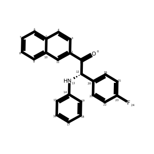 O=C(c1ccc2ccccc2c1)[C@@H](Nc1ccccc1)c1ccc(F)cc1